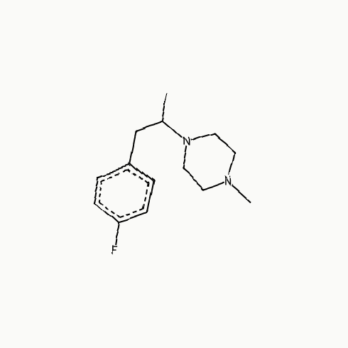 CC(Cc1ccc(F)cc1)N1CCN(C)CC1